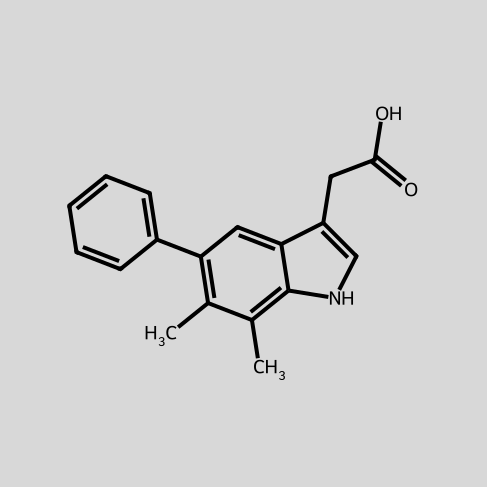 Cc1c(-c2ccccc2)cc2c(CC(=O)O)c[nH]c2c1C